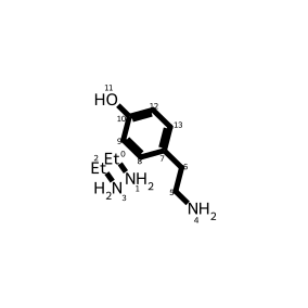 CCN.CCN.NCCc1ccc(O)cc1